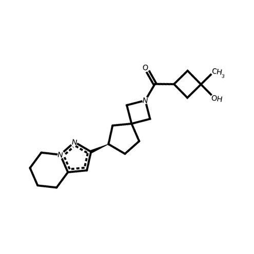 CC1(O)CC(C(=O)N2CC3(CC[C@@H](c4cc5n(n4)CCCC5)C3)C2)C1